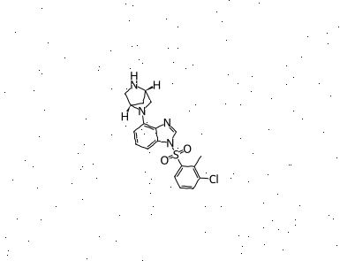 Cc1c(Cl)cccc1S(=O)(=O)n1cnc2c(N3C[C@@H]4C[C@H]3CN4)cccc21